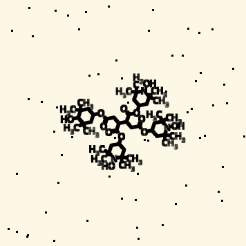 CC1(C)CC(OC(=O)CC(C(=O)OC2CC(C)(C)N(O)C(C)(C)C2)C(CC(=O)OC2CC(C)(C)N(O)C(C)(C)C2)C(=O)OC2CC(C)(C)N(O)C(C)(C)C2)CC(C)(C)C1O